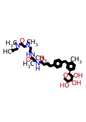 C#CCN(C)C(=O)CN(C)CCNC(=O)C(C)(C)NC(=O)C/C=C/c1ccc(Cc2cc([C@@H]3OC[C@@H](O)[C@H](O)[C@H]3O)ccc2C)cc1